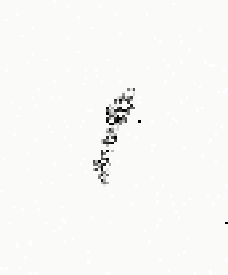 CCOC(=O)COCCOCCOS(=O)(=O)c1ccc(C)cc1